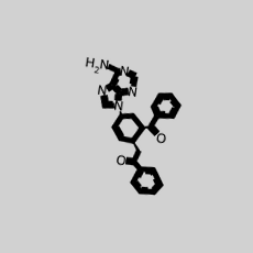 Nc1ncnc2c1ncn2[C@H]1C=C[C@H](CC(=O)c2ccccc2)[C@H](C(=O)c2ccccc2)C1